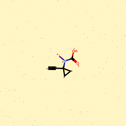 C#CC1(N(I)C(=O)O)CC1